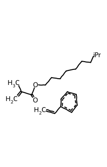 C=C(C)C(=O)OCCCCCCCC(C)C.C=Cc1ccccc1